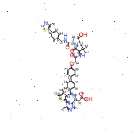 Cc1ncsc1-c1ccc(CNC(=O)[C@@H]2C[C@@H](O)CN2C(=O)C(NC(=O)COc2ccc(-c3ccc(C4=N[C@@H](CC(=O)O)c5nnc(C)n5-c5sc(C)c(C)c54)cc3)cc2)C(C)(C)C)cc1